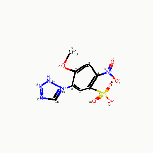 COc1cc([N+](=O)[O-])c(S(=O)(=O)O)cc1-[n+]1cnn[nH]1